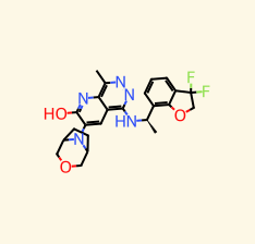 Cc1nnc(N[C@H](C)c2cccc3c2OCC3(F)F)c2cc(N3C4CCC3COC4)c(O)nc12